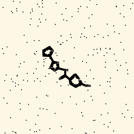 CSc1ccc(C(=O)Nc2nnc(-c3cccs3)o2)cc1